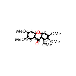 COc1cc2oc3cc(OC)c(OC)c(OC)c3c(=O)c2cc1OC